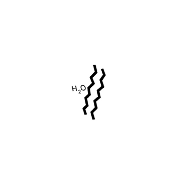 CCCCCCCCCC.CCCCCCCCCC.O